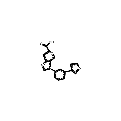 NC(=O)c1ccc2c(c1)ncn2-c1cccc(-c2ccsc2)c1